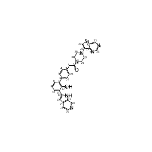 O=C(Cc1ccc(-c2cccc(-c3cc4ccncc4[nH]3)c2O)cc1)N1CCN(c2csc3cncnc23)CC1